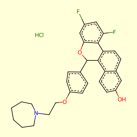 Cl.Oc1ccc2c3c(ccc2c1)-c1c(F)cc(F)cc1OC3c1ccc(OCCN2CCCCCC2)cc1